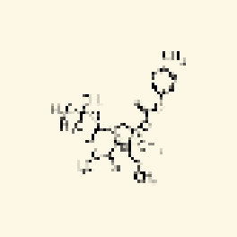 C=CC[C@]1(C)[C@H](OC(=S)Oc2ccc(C)cc2)CN(C(=O)OC(C)(C)C)[C@@H]1C(=S)OC